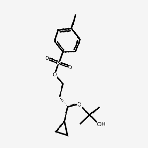 Cc1ccc(S(=O)(=O)OCC[C@H](OC(C)(C)O)C2CC2)cc1